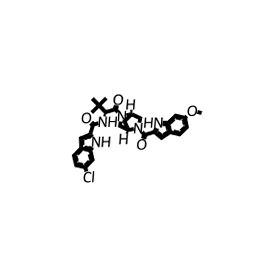 COc1ccc2cc(C(=O)N3C[C@@H]4C[C@H]3CN4C(=O)[C@@H](NC(=O)c3cc4ccc(Cl)cc4[nH]3)C(C)(C)C)[nH]c2c1